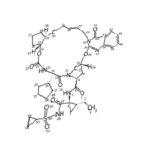 CC[C@@H]1C[C@]1(NC(=O)[C@@H]1C[C@@H]2CN1C(=O)[C@H](C1CCCC1)NC(=O)O[C@@H]1CCC[C@H]1CC/C=C/Cn1c(nc3ccccc3c1=O)O2)C(=O)NS(=O)(=O)C1CC1